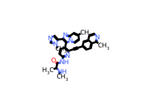 CNC(C)C(=O)Nc1ccc(-c2c(-c3cncn3C)nc3cc(C)ccn23)c(C#Cc2ccc3c(C)nccc3c2)n1